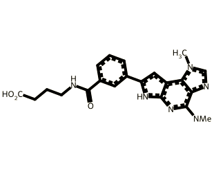 CNc1nc2[nH]c(-c3cccc(C(=O)NCCCC(=O)O)c3)cc2c2c1ncn2C